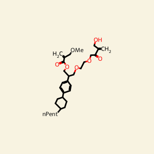 C=C(CO)C(=O)COCCOCC(COC(=O)C(=C)COC)c1ccc(C2CCC(CCCCC)CC2)cc1